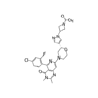 Cc1nc2cc(N3CCO[C@@H](c4cnn(C5CN(C(=O)O)C5)c4)C3)nc(-c3ccc(Cl)cc3F)c2c(=O)n1C